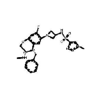 CN[C@@H]1COc2cc(F)c(N3CC(NS(=O)(=O)c4cn(C)nn4)C3)cc2[C@@H]1Cc1ccccc1